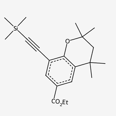 CCOC(=O)c1cc(C#C[Si](C)(C)C)c2c(c1)C(C)(C)CC(C)(C)O2